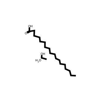 CCCCCCCCCCCCCCCCCC(=O)O.CCO.O